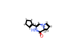 O=c1[nH]c(C2=CCCC2)cn2cccc12